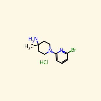 CC1(N)CCN(c2cccc(Br)n2)CC1.Cl